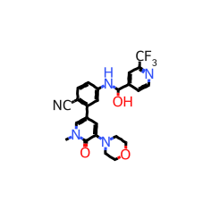 Cn1cc(-c2cc(NC(O)c3ccnc(C(F)(F)F)c3)ccc2C#N)cc(N2CCOCC2)c1=O